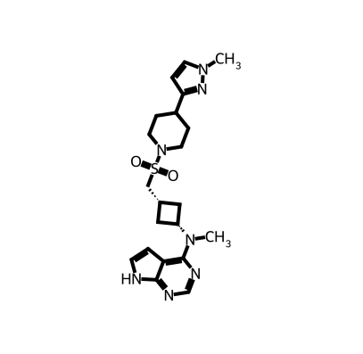 Cn1ccc(C2CCN(S(=O)(=O)C[C@H]3C[C@@H](N(C)c4ncnc5[nH]ccc45)C3)CC2)n1